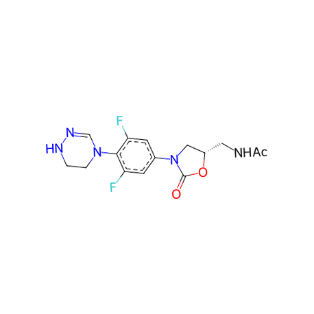 CC(=O)NC[C@H]1CN(c2cc(F)c(N3C=NNCC3)c(F)c2)C(=O)O1